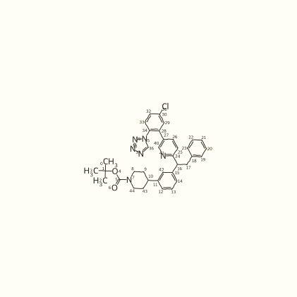 CC(C)(C)OC(=O)N1CCC(c2cccc(C(Cc3ccccc3)c3ccc(-c4cc(Cl)ccc4-n4cnnn4)cn3)c2)CC1